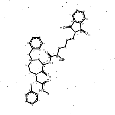 CNC(=O)[C@H](Cc1ccccc1)N1CCN(Cc2ccccc2)CC(NC(=O)C(S)CCCCN2C(=O)c3ccccc3C2=O)C1=O